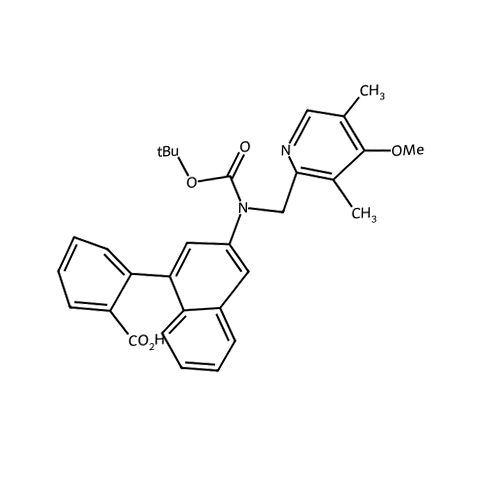 COc1c(C)cnc(CN(C(=O)OC(C)(C)C)c2cc(-c3ccccc3C(=O)O)c3ccccc3c2)c1C